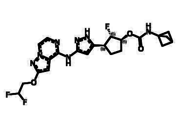 O=C(NC12CC(C1)C2)O[C@H]1CC[C@@H](c2cc(Nc3nccn4nc(OCC(F)F)cc34)n[nH]2)[C@@H]1F